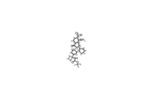 CC(C)(C)OC(=O)NC1(c2ccc(-c3c(-c4ccccc4)oc4c(N)c([N+](=O)[O-])ccc4c3=O)cc2)CCC1